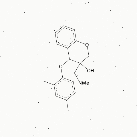 CNCC1(O)COc2ccccc2C1Oc1ccc(C)cc1C